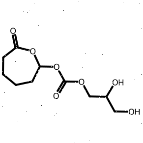 O=C1CCCCC(OC(=O)OCC(O)CO)O1